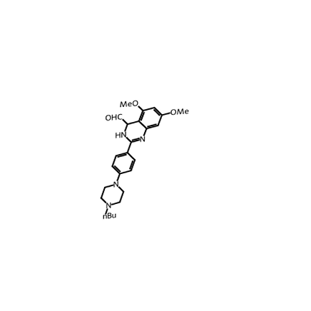 CCCCN1CCN(c2ccc(C3=Nc4cc(OC)cc(OC)c4C(C=O)N3)cc2)CC1